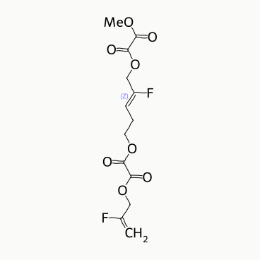 C=C(F)COC(=O)C(=O)OCC/C=C(\F)COC(=O)C(=O)OC